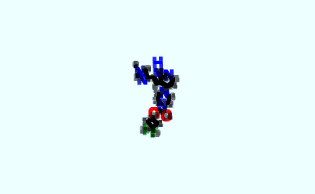 Cn1cnc(-c2cc3c(N4CCN(C(=O)OC5CC(F)(F)C5)CC4)ccnc3[nH]2)c1